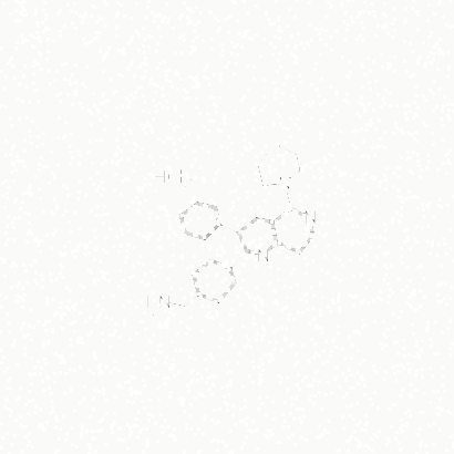 Cl.Cl.NCc1ccc(-c2nc3ccnc(N4CCOCC4)c3cc2-c2ccccc2)cc1